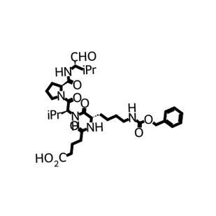 CC(C)[C@H](NC(=O)[C@H](CCCCNC(=O)OCc1ccccc1)NC(=O)CCCC(=O)O)C(=O)N1CCC[C@H]1C(=O)N[C@H](C=O)C(C)C